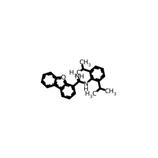 CC(C)c1cccc(C(C)C)c1NC(=N)c1cccc2c1oc1ccccc12